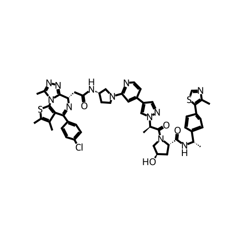 Cc1ncsc1-c1ccc([C@H](C)NC(=O)[C@@H]2C[C@@H](O)CN2C(=O)[C@@H](C)n2cc(-c3ccnc(N4CC[C@H](NC(=O)C[C@@H]5N=C(c6ccc(Cl)cc6)c6c(sc(C)c6C)-n6c(C)nnc65)C4)c3)cn2)cc1